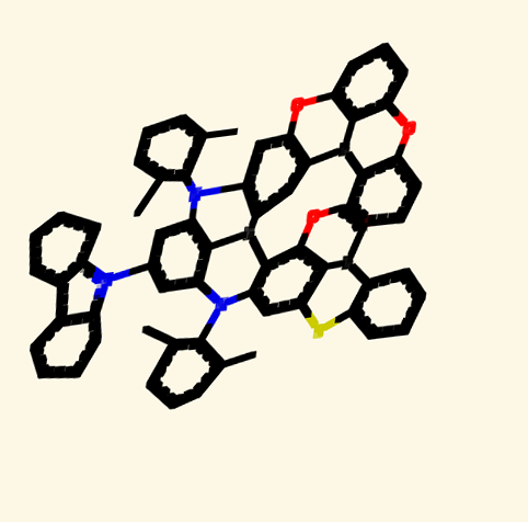 Cc1cccc(C)c1N1c2cc3c(cc2B2c4c1cc(-n1c5ccccc5c5ccccc51)cc4N(c1c(C)cccc1C)c1cc4c5c(c12)Oc1ccccc1B5c1ccccc1S4)B1c2ccccc2Oc2cccc(c21)O3